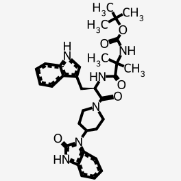 CC(C)(C)OC(=O)NC(C)(C)C(=O)N[C@H](Cc1c[nH]c2ccccc12)C(=O)N1CCC(n2c(=O)[nH]c3ccccc32)CC1